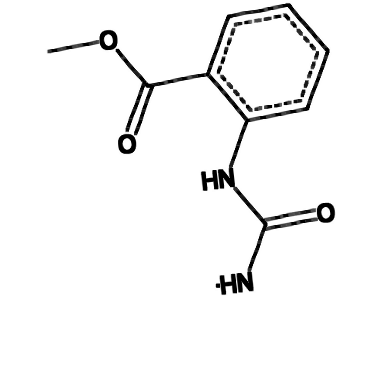 COC(=O)c1ccccc1NC([NH])=O